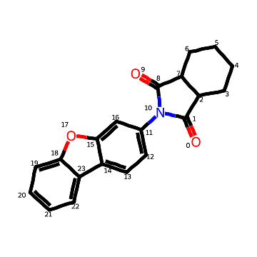 O=C1C2CCCCC2C(=O)N1c1ccc2c(c1)oc1ccccc12